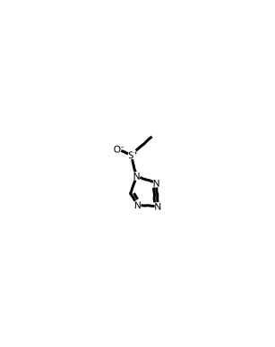 C[S+]([O-])n1cnnn1